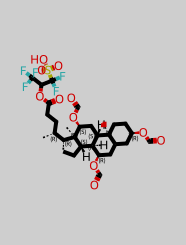 C[C@H](CCC(=O)OC(C(F)(F)F)C(F)(F)S(=O)(=O)O)[C@H]1CC[C@H]2[C@@H]3[C@H](OC=O)CC4C[C@H](OC=O)CC[C@]4(C)[C@H]3C[C@H](OC=O)[C@]12C